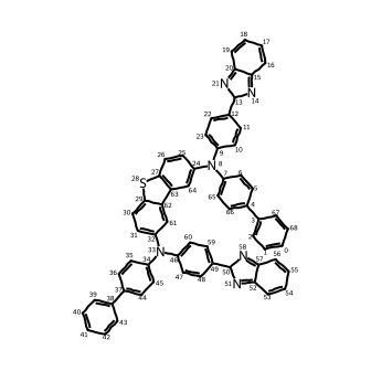 c1ccc(-c2ccc(N(c3ccc(C4N=c5ccccc5=N4)cc3)c3ccc4sc5ccc(N(c6ccc(-c7ccccc7)cc6)c6ccc(C7N=c8ccccc8=N7)cc6)cc5c4c3)cc2)cc1